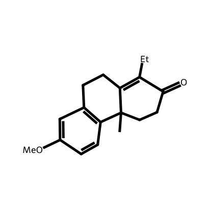 CCC1=C2CCc3cc(OC)ccc3C2(C)CCC1=O